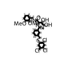 COc1cccc(CNC(=O)c2nc(-c3cccc(CSc4cc(Cl)c(Cl)cc4Cl)c3)nc(O)c2O)c1OC